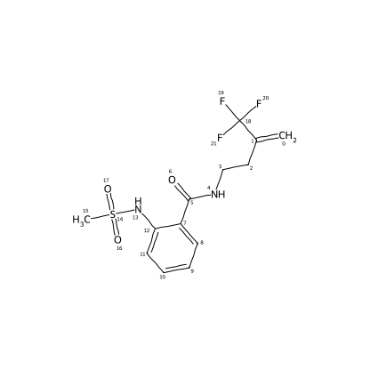 C=C(CCNC(=O)c1ccccc1NS(C)(=O)=O)C(F)(F)F